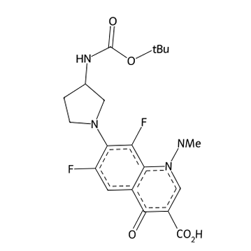 CNn1cc(C(=O)O)c(=O)c2cc(F)c(N3CCC(NC(=O)OC(C)(C)C)C3)c(F)c21